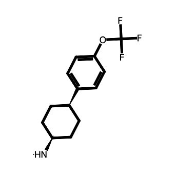 [NH][C@H]1CC[C@@H](c2ccc(OC(F)(F)F)cc2)CC1